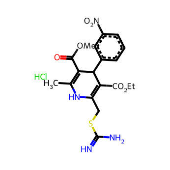 CCOC(=O)C1=C(CSC(=N)N)NC(C)=C(C(=O)OC)C1c1cccc([N+](=O)[O-])c1.Cl